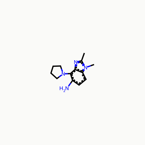 Cc1nc2c(N3CCCC3)c(N)ccc2n1C